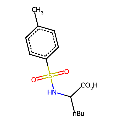 [CH2]CCCC(NS(=O)(=O)c1ccc(C)cc1)C(=O)O